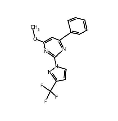 COc1cc(-c2ccccc2)nc(-n2ccc(C(F)(F)F)n2)n1